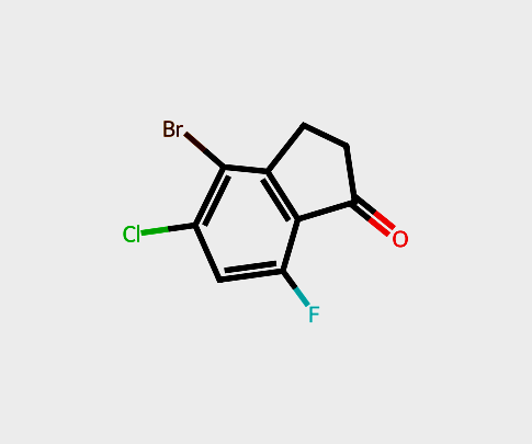 O=C1CCc2c(Br)c(Cl)cc(F)c21